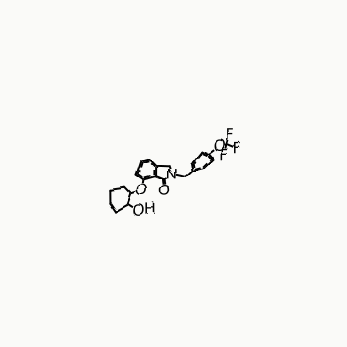 O=C1c2c(cccc2OC2CCCCC2O)CN1Cc1ccc(OC(F)(F)F)cc1